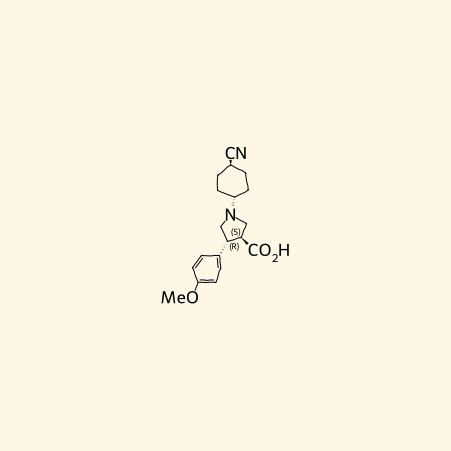 COc1ccc([C@@H]2CN([C@H]3CC[C@H](C#N)CC3)C[C@H]2C(=O)O)cc1